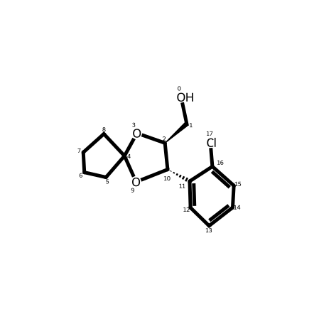 OC[C@@H]1OC2(CCCC2)O[C@H]1c1ccccc1Cl